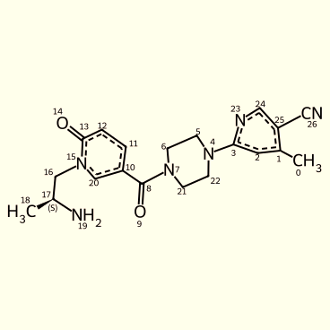 Cc1cc(N2CCN(C(=O)c3ccc(=O)n(C[C@H](C)N)c3)CC2)ncc1C#N